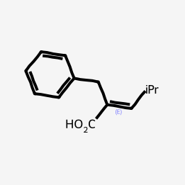 CC(C)/C=C(\Cc1ccccc1)C(=O)O